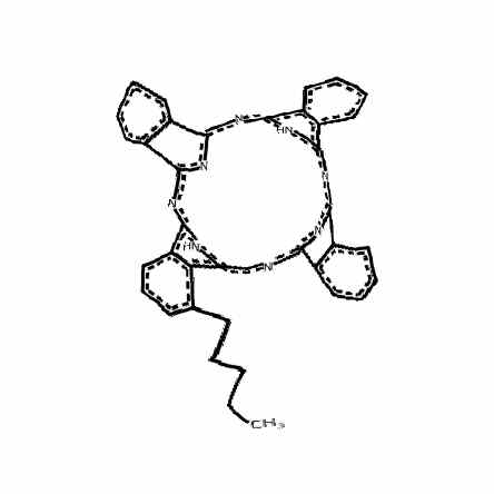 CCCCCc1cccc2c3nc4nc(nc5[nH]c(nc6nc(nc([nH]3)c12)-c1ccccc1-6)c1ccccc51)-c1ccccc1-4